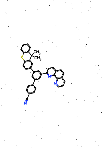 CC1(C)c2ccccc2Sc2ccc(-c3cc(-c4ccc(C#N)cc4)cc(-c4ccc5ccc6cccnc6c5n4)c3)cc21